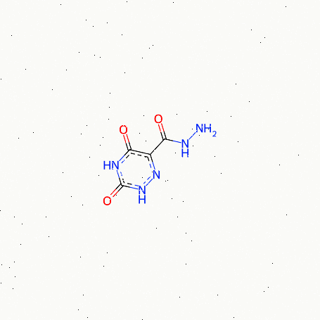 NNC(=O)c1n[nH]c(=O)[nH]c1=O